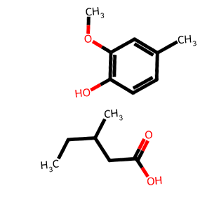 CCC(C)CC(=O)O.COc1cc(C)ccc1O